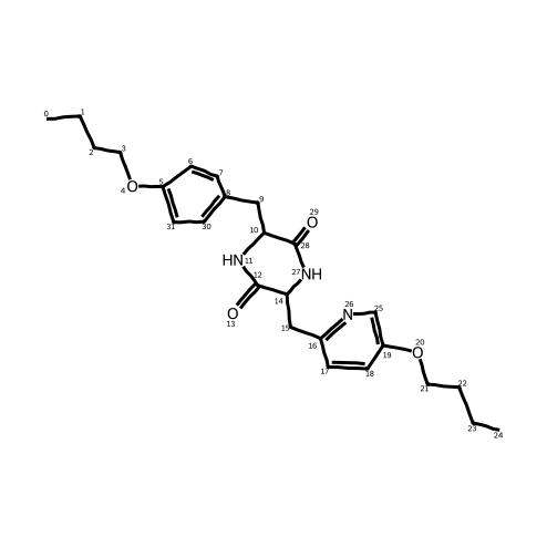 CCCCOc1ccc(CC2NC(=O)C(Cc3ccc(OCCCC)cn3)NC2=O)cc1